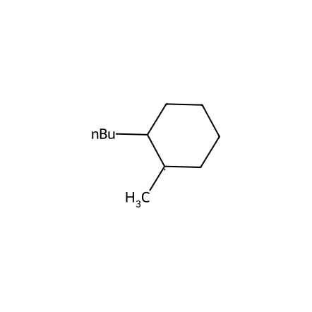 CCCCC1CCCC[C]1C